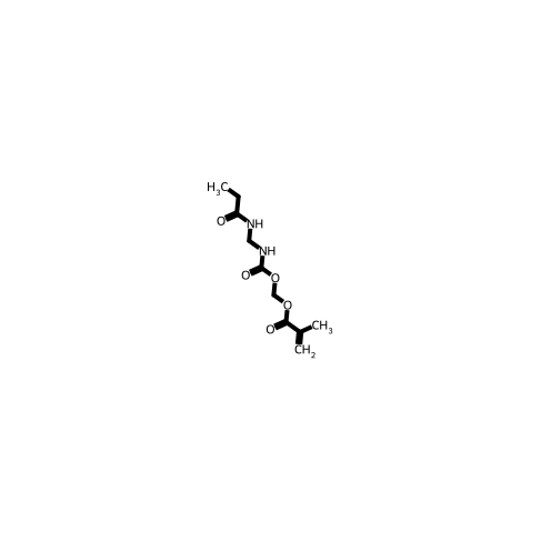 C=C(C)C(=O)OCOC(=O)NCNC(=O)CC